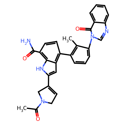 CC(=O)N1CC=C(c2cc3c(-c4cccc(-n5cnc6ccccc6c5=O)c4C)ccc(C(N)=O)c3[nH]2)C1